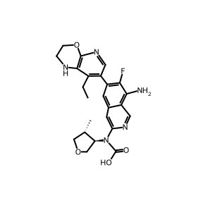 CCc1c(-c2cc3cc(N(C(=O)O)[C@H]4COC[C@@H]4C)ncc3c(N)c2F)cnc2c1NCCO2